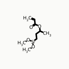 C=CC(=O)OC(C)CC[Si](OC)OC